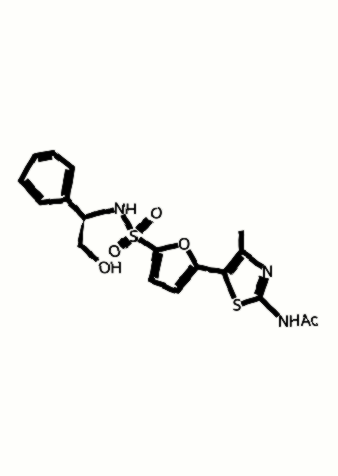 CC(=O)Nc1nc(C)c(-c2ccc(S(=O)(=O)N[C@@H](CO)c3ccccc3)o2)s1